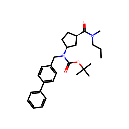 CCCN(C)C(=O)[C@@H]1CC[C@H](N(Cc2ccc(-c3ccccc3)cc2)C(=O)OC(C)(C)C)C1